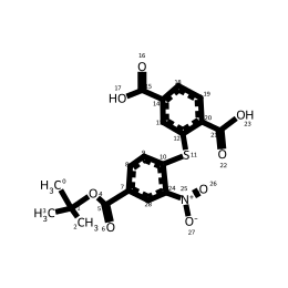 CC(C)(C)OC(=O)c1ccc(Sc2cc(C(=O)O)ccc2C(=O)O)c([N+](=O)[O-])c1